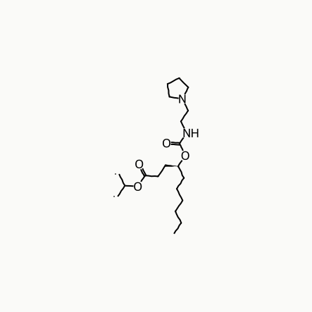 [CH2]C([CH2])OC(=O)CC[C@H](CCCCCC)OC(=O)NCCN1CCCC1